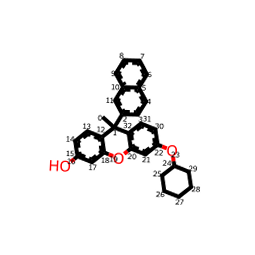 CC1(c2ccc3ccccc3c2)c2ccc(O)cc2Oc2cc(OC3CCCCC3)ccc21